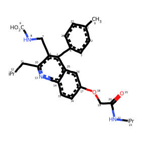 Cc1ccc(-c2c(CNC(=O)O)c(CC(C)C)nc3ccc(OCC(=O)NC(C)C)cc23)cc1